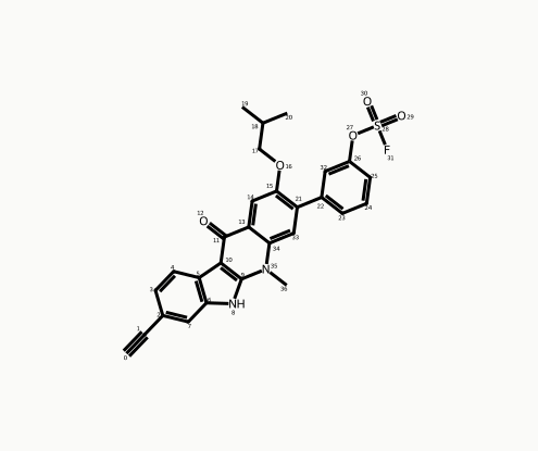 C#Cc1ccc2c(c1)[nH]c1c2c(=O)c2cc(OCC(C)C)c(-c3cccc(OS(=O)(=O)F)c3)cc2n1C